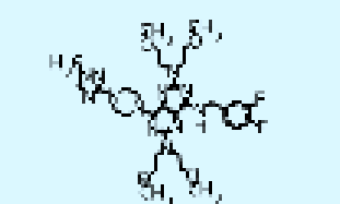 COCCN(CCOC)c1nc(N2CCN(c3ncn(C)n3)CC2)c2nc(N(CCOC)CCOC)nc(NCc3ccc(F)c(F)c3)c2n1